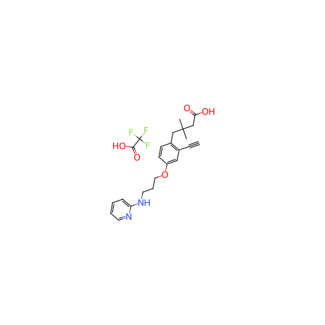 C#Cc1cc(OCCCNc2ccccn2)ccc1CC(C)(C)CC(=O)O.O=C(O)C(F)(F)F